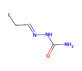 NC(=O)N/N=C/CI